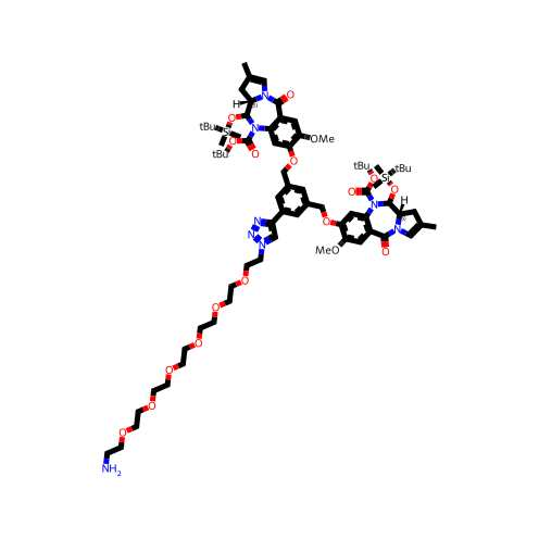 COc1cc2c(cc1OCc1cc(COc3cc4c(cc3OC)C(=O)N3C=C(C)C[C@H]3C(O[Si](C)(C)C(C)(C)C)N4C(=O)OC(C)(C)C)cc(-c3cn(CCOCCOCCOCCOCCOCCOCCN)nn3)c1)N(C(=O)OC(C)(C)C)C(O[Si](C)(C)C(C)(C)C)[C@@H]1CC(C)=CN1C2=O